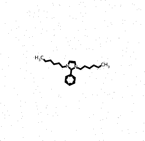 CCCCCCN1C=CN(CCCCCC)C1c1ccccc1